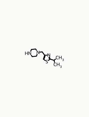 CC(C)c1nc(CN2CCNCC2)cs1